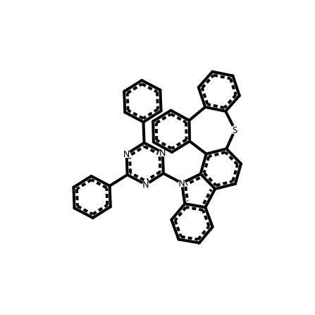 c1ccc(-c2nc(-c3ccccc3)nc(-n3c4ccccc4c4ccc5c(c43)-c3ccccc3-c3ccccc3S5)n2)cc1